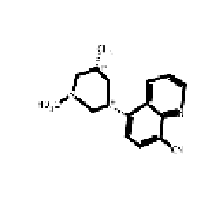 C[C@@H]1C[C@H](c2ccc(C#N)c3ncccc23)CN(C(=O)O)C1